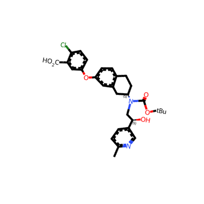 Cc1ccc([C@H](O)CN(C(=O)OC(C)(C)C)[C@H]2CCc3ccc(Oc4ccc(Cl)c(C(=O)O)c4)cc3C2)cn1